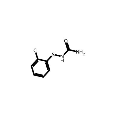 NC(=O)NSc1ccccc1Cl